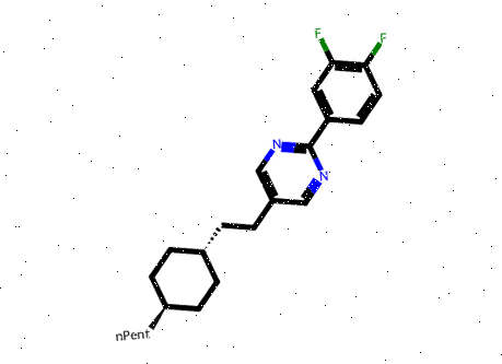 CCCCC[C@H]1CC[C@H](CCc2cnc(-c3ccc(F)c(F)c3)nc2)CC1